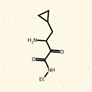 CCNC(=O)C(=O)C(N)CC1CC1